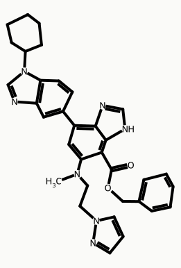 CN(CCn1cccn1)c1cc(-c2ccc3c(c2)ncn3C2CCCCC2)c2nc[nH]c2c1C(=O)OCc1ccccc1